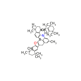 Cc1cc2c3c(c1)N1c4cc5c(cc4[C@]4(C)CCC(C)(C)c6ccc(c1c64)B3c1oc3cc4c(cc3c1C2)C(C)(C)CCC4(C)C)C(C)(C)CCC5(C)C